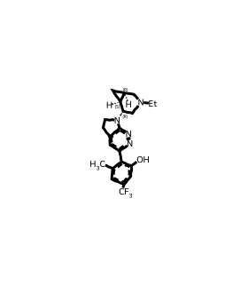 CCN1C[C@@H]2C[C@@H]2[C@@H](N2CCc3cc(-c4c(C)cc(C(F)(F)F)cc4O)nnc32)C1